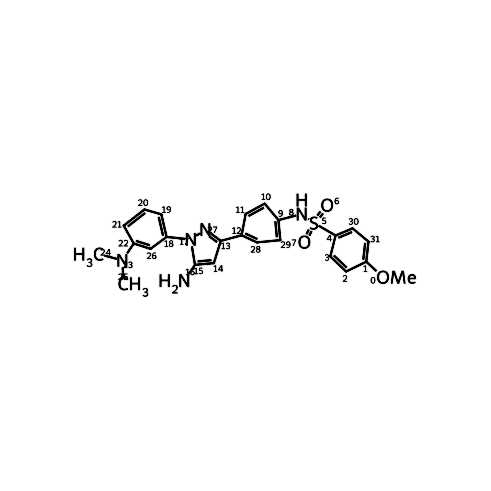 COc1ccc(S(=O)(=O)Nc2ccc(-c3cc(N)n(-c4cccc(N(C)C)c4)n3)cc2)cc1